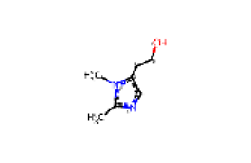 Cc1ncc(CCO)n1C